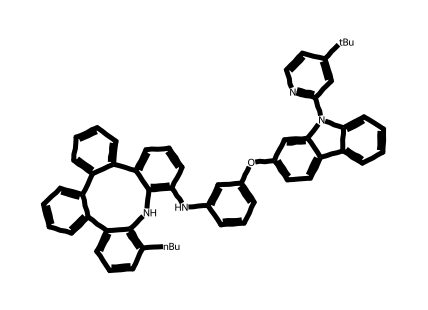 CCCCc1cccc2c1[nH]c1c(Nc3cccc(Oc4ccc5c6ccccc6n(-c6cc(C(C)(C)C)ccn6)c5c4)c3)cccc1c1ccccc1c1ccccc21